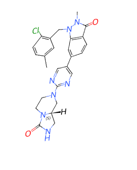 Cc1ccc(Cl)c(Cn2c3cc(-c4cnc(N5CCN6C(=O)NC[C@H]6C5)nc4)ccc3c(=O)n2C)c1